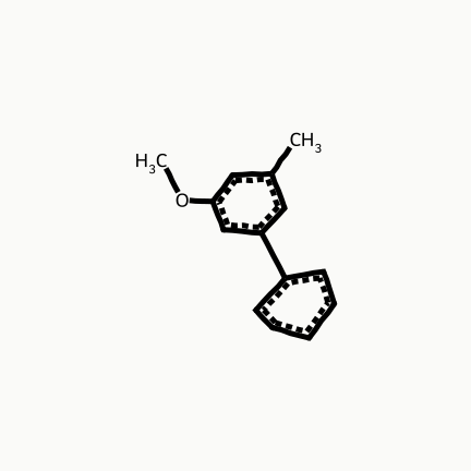 COc1cc(C)cc(-c2ccccc2)c1